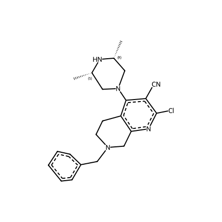 C[C@@H]1CN(c2c(C#N)c(Cl)nc3c2CCN(Cc2ccccc2)C3)C[C@H](C)N1